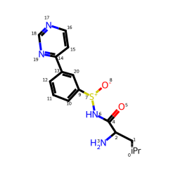 CC(C)CC(N)C(=O)N[S+]([O-])c1cccc(-c2ccncn2)c1